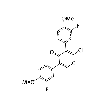 COc1ccc(C(=CCl)C(=O)C(=CCl)c2ccc(OC)c(F)c2)cc1F